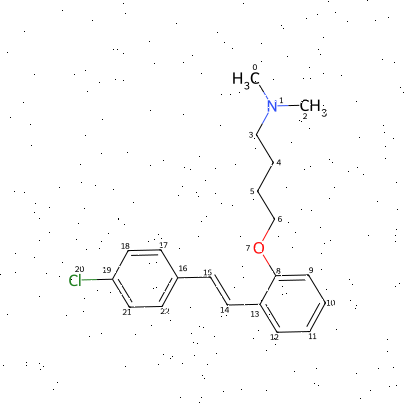 CN(C)CCCCOc1ccccc1C=Cc1ccc(Cl)cc1